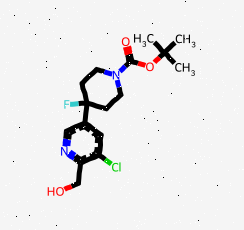 CC(C)(C)OC(=O)N1CCC(F)(c2cnc(CO)c(Cl)c2)CC1